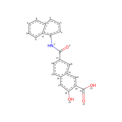 O=C(Nc1cccc2ccccc12)c1ccc2cc(O)c(C(=O)O)cc2c1